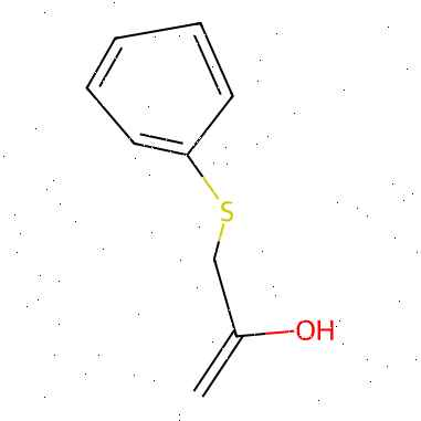 C=C(O)CSc1ccccc1